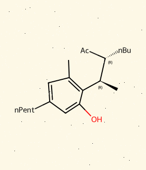 CCCCCc1cc(C)c([C@H](C)[C@@H](CCCC)C(C)=O)c(O)c1